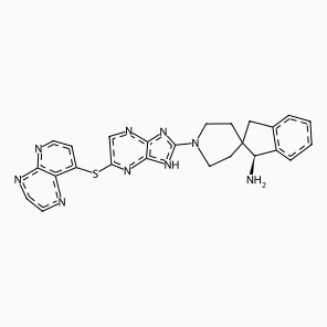 N[C@@H]1c2ccccc2CC12CCN(c1nc3ncc(Sc4ccnc5nccnc45)nc3[nH]1)CC2